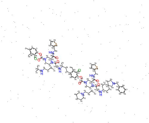 Cc1ccc(OC(=O)N2CCN(C(=O)[C@@H](CCCCNC(C)C)NC(C)CCc3ccc(OC(=O)N4CCN(C(=O)[C@@H](CCCCN5CCCCC5)NC5CCC6(CC5)CCN(Cc5ccccc5)C6)[C@H](C(=O)NCc5cccs5)C4)c(Cl)c3C)[C@H](C(=O)NCc3cccs3)C2)c(Cl)c1C